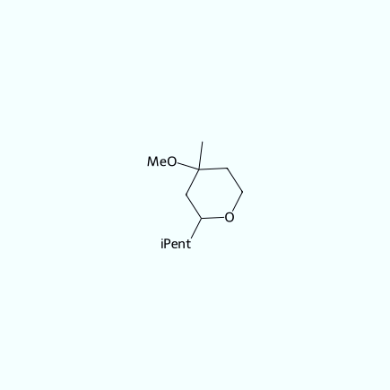 CCCC(C)C1CC(C)(OC)CCO1